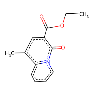 CCOC(=O)c1cc(C)c2ccccn2c1=O